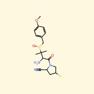 COc1ccc(C[S+]([O-])C(C)(C)C(N)C(=O)N2CC(F)CC2C#N)cc1